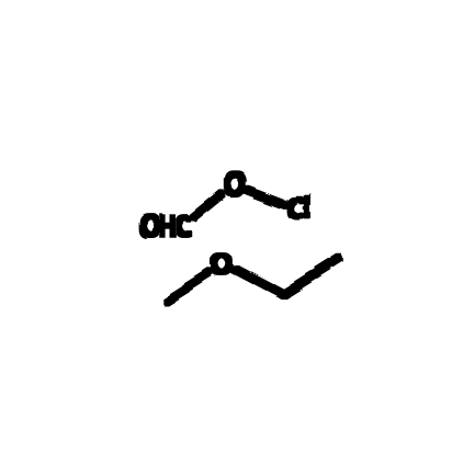 CCOC.O=COCl